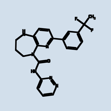 CC(F)(F)c1cccc(-c2ccc3c(n2)N(C(=O)Nc2cccnn2)CCCN3)c1